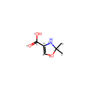 CC1(C)NC(C(=O)O)=CO1